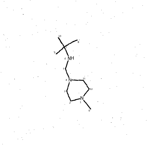 CN1CCN(CNC(C)(C)C)CC1